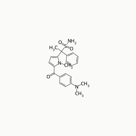 CN(C)c1ccc(C(=O)c2ccc(C(C)(c3ccccc3)S(N)(=O)=O)n2C)cc1